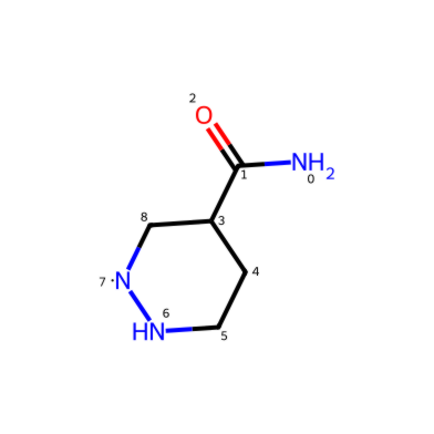 NC(=O)C1CCN[N]C1